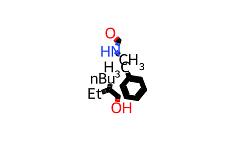 CCCCC(CC)CO.CNC=O.Cc1ccccc1